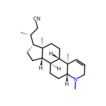 C[C@H](CC#N)[C@H]1CC[C@H]2[C@@H]3CC[C@H]4N(C)CC=C[C@]4(C)[C@H]3CC[C@]12C